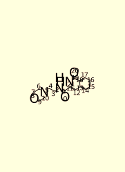 O=C(NCCN1CCOCC1)c1cc2ccccc2c(=O)[nH]1